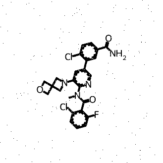 CN(C(=O)c1c(F)cccc1Cl)c1ncc(-c2cc(C(N)=O)ccc2Cl)cc1N1CC2(COC2)C1